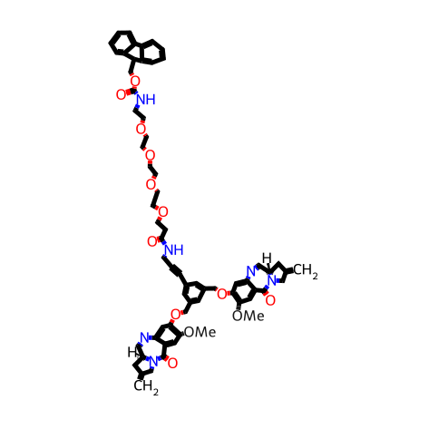 C=C1C[C@H]2C=Nc3cc(OCc4cc(C#CCNC(=O)CCOCCOCCOCCOCCNC(=O)OCC5c6ccccc6-c6ccccc65)cc(COc5cc6c(cc5OC)C(=O)N5CC(=C)C[C@H]5C=N6)c4)c(OC)cc3C(=O)N2C1